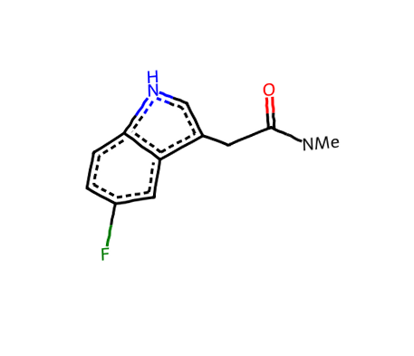 CNC(=O)Cc1c[nH]c2ccc(F)cc12